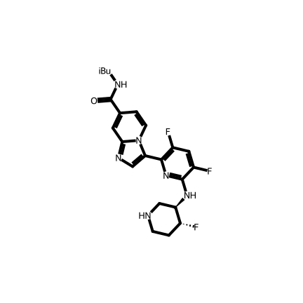 CCC(C)NC(=O)c1ccn2c(-c3nc(N[C@@H]4CNCC[C@H]4F)c(F)cc3F)cnc2c1